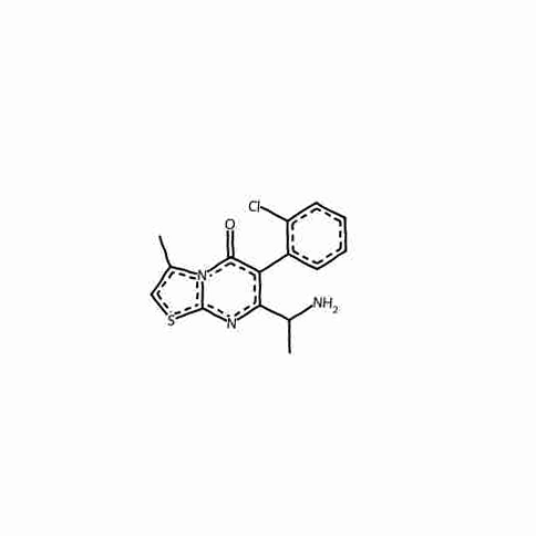 Cc1csc2nc(C(C)N)c(-c3ccccc3Cl)c(=O)n12